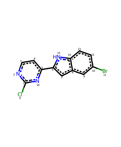 Clc1nccc(-c2cc3cc(Br)ccc3[nH]2)n1